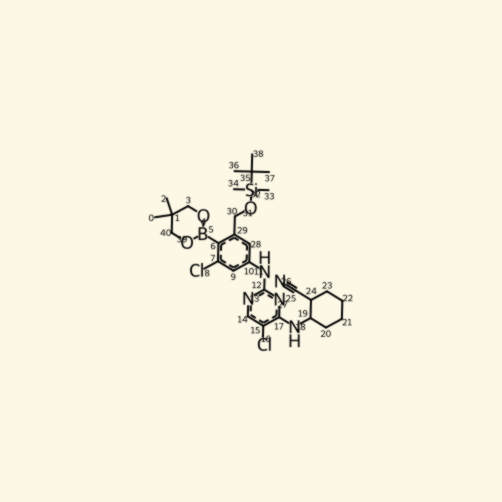 CC1(C)COB(c2c(Cl)cc(Nc3ncc(Cl)c(NC4CCCCC4C#N)n3)cc2CO[Si](C)(C)C(C)(C)C)OC1